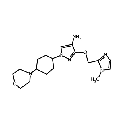 Cn1ccnc1COc1nn(C2CCC(N3CCOCC3)CC2)cc1N